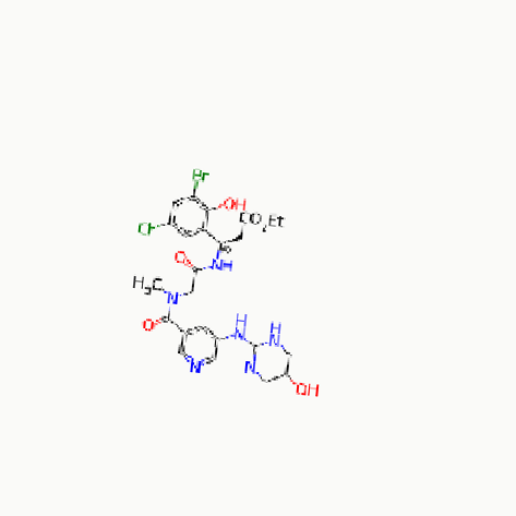 CCOC(=O)C[C@@H](NC(=O)CN(C)C(=O)c1cncc(NC2=NCC(O)CN2)c1)c1cc(Cl)cc(Br)c1O